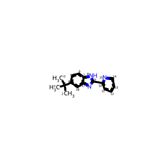 CC(C)(C)c1ccc2[nH]c(-c3ccccn3)nc2c1